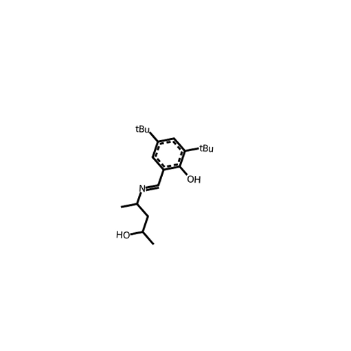 CC(O)CC(C)N=Cc1cc(C(C)(C)C)cc(C(C)(C)C)c1O